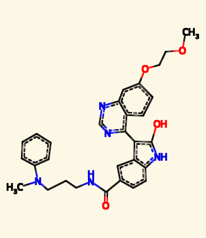 COCCOc1ccc2c(-c3c(O)[nH]c4ccc(C(=O)NCCCN(C)c5ccccc5)cc34)ncnc2c1